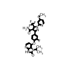 COc1ccnc(-n2nc(-c3ccc(Oc4ccnc5[nH]c(=O)n(C(C)C)c45)c(F)c3)c(C(N)=O)c2C(F)(F)F)c1